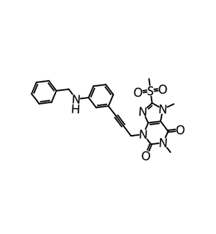 Cn1c(=O)c2c(nc(S(C)(=O)=O)n2C)n(CC#Cc2cccc(NCc3ccccc3)c2)c1=O